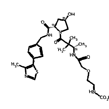 Cc1ncsc1-c1ccc(CNC(=O)[C@@H]2C[C@@H](O)CN2C(=O)C(C)(C)[C@H](C)NC(=O)COCCNC(=O)O)cc1